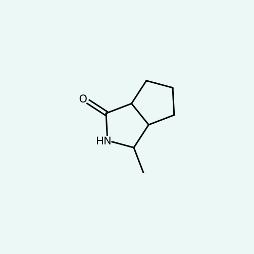 CC1NC(=O)C2CCCC12